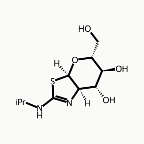 CC(C)NC1=N[C@@H]2[C@@H](O)[C@H](O)[C@@H](CO)O[C@@H]2S1